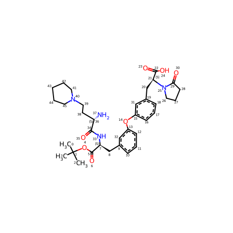 CC(C)(C)OC(=O)[C@H](Cc1cccc(Oc2cccc(C[C@@H](C(=O)O)N3CCCC3=O)c2)c1)NC(=O)[C@@H](N)CCN1CCCCC1